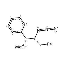 CO[C@H](c1ccccc1)[C@@H](CF)N=[N+]=[N-]